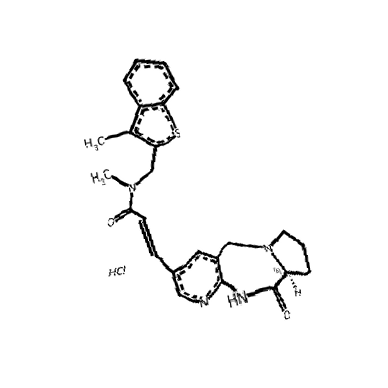 Cc1c(CN(C)C(=O)C=Cc2cnc3c(c2)CN2CCC[C@H]2C(=O)N3)sc2ccccc12.Cl